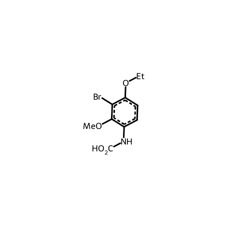 CCOc1ccc(NC(=O)O)c(OC)c1Br